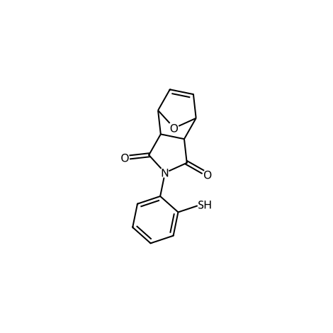 O=C1C2C3C=CC(O3)C2C(=O)N1c1ccccc1S